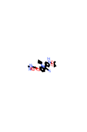 Cc1noc(COc2ccc3c(C#N)c(-c4ccc(NC(=O)OC(C)C5CC5)cc4)n(C4CCC4)c3c2)n1